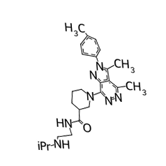 Cc1ccc(-n2nc3c(N4CCCC(C(=O)NCCNC(C)C)C4)nnc(C)c3c2C)cc1